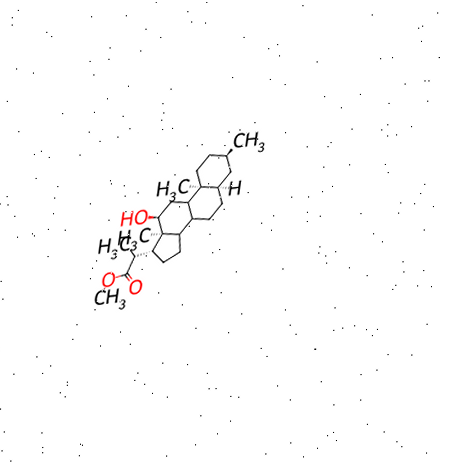 COC(=O)C(C)[C@H]1CCC2C3CC[C@@H]4C[C@H](C)CC[C@]4(C)C3C[C@H](O)[C@@]21C